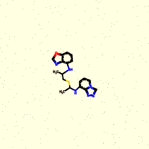 CC(CSC(C)Nc1cccn2cnnc12)Nc1cccc2ocnc12